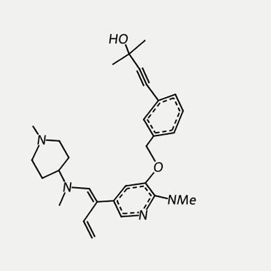 C=C/C(=C\N(C)C1CCN(C)CC1)c1cnc(NC)c(OCc2cccc(C#CC(C)(C)O)c2)c1